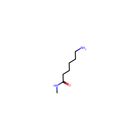 [CH2]NC(=O)CCCCCN